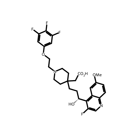 COc1ccc2ncc(F)c([C@H](O)CCC3(CC(=O)O)CCN(CCOc4cc(F)c(F)c(F)c4)CC3)c2c1